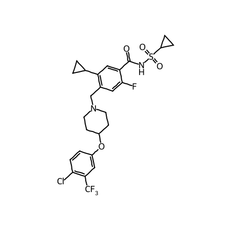 O=C(NS(=O)(=O)C1CC1)c1cc(C2CC2)c(CN2CCC(Oc3ccc(Cl)c(C(F)(F)F)c3)CC2)cc1F